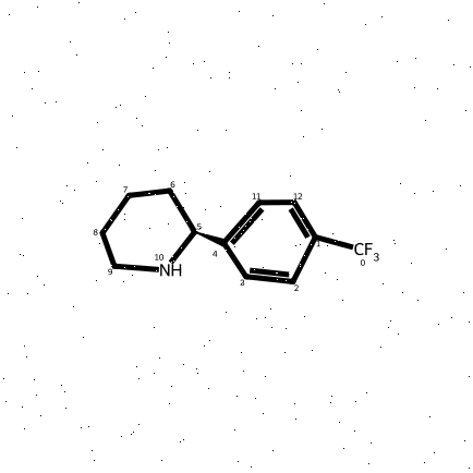 FC(F)(F)c1ccc([C@@H]2CCCCN2)cc1